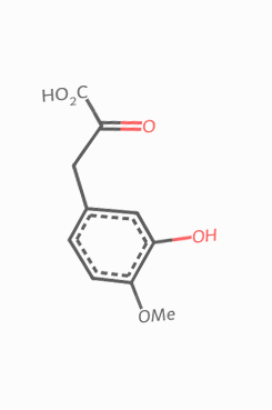 COc1ccc(CC(=O)C(=O)O)cc1O